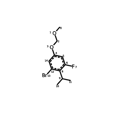 COCOc1cc(F)c(C(C)C)c(Br)c1